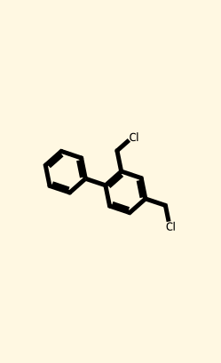 ClCc1ccc(-c2ccccc2)c(CCl)c1